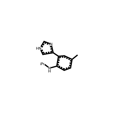 Cc1ccc(NC(C)C)c(-c2c[nH]cn2)c1